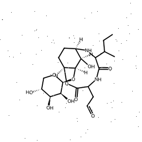 CCC(C)C1N[C@@H]2CC[C@H](OC(=O)C(CC=O)NC1=O)[C@H](O[C@@H]1OC[C@@H](O)[C@H](O)[C@@H]1O)[C@@H]2O